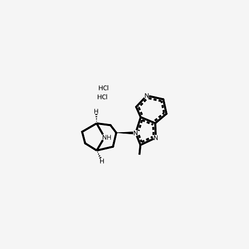 Cc1nc2ccncc2n1[C@H]1C[C@H]2CC[C@@H](C1)N2.Cl.Cl